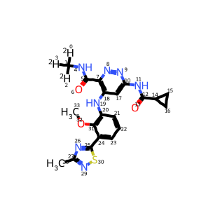 [2H]C([2H])([2H])NC(=O)c1nnc(NC(=O)C2CC2)cc1Nc1cccc(-c2nc(C)ns2)c1OC